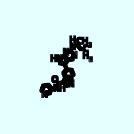 CC[C@H](C)Nc1ncc2c(-c3ccn4ncc(C(=O)Nc5cccnc5)c4c3)c[nH]c2n1